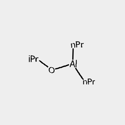 CC[CH2][Al]([CH2]CC)[O]C(C)C